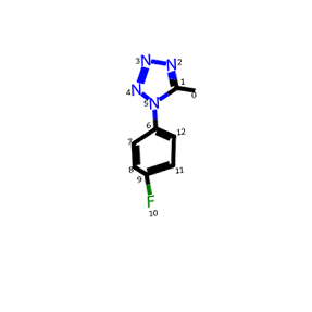 Cc1nnnn1-c1ccc(F)cc1